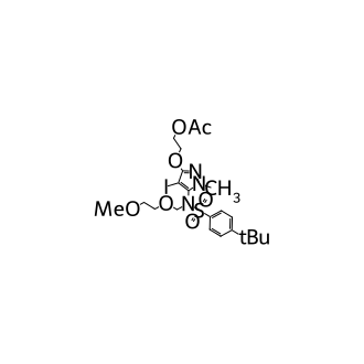 COCCOCN(c1c(I)c(OCCOC(C)=O)nn1C)S(=O)(=O)c1ccc(C(C)(C)C)cc1